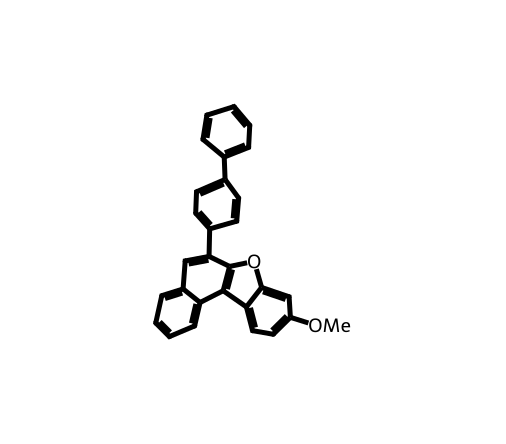 COc1ccc2c(c1)oc1c(-c3ccc(-c4ccccc4)cc3)cc3ccccc3c12